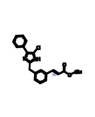 CC(C)(C)OC(=O)/C=C/c1cccc(Cc2nc(-c3ccccc3)c(Cl)[nH]2)c1